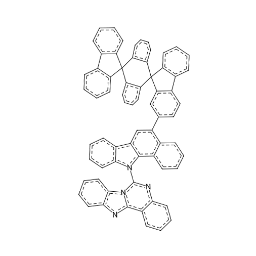 c1ccc2c(c1)-c1ccccc1C21c2ccccc2C2(c3ccccc3-c3ccc(-c4cc5c6ccccc6n(-c6nc7ccccc7c7nc8ccccc8n67)c5c5ccccc45)cc32)c2ccccc21